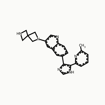 Cc1cccc(-c2[nH]cnc2-c2ccc3ncc(N4CC5(CNC5)C4)cc3c2)n1